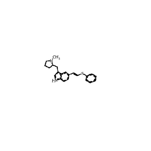 CN1CCCC1Cc1c[nH]c2ccc(/C=C/Sc3ccccc3)cc12